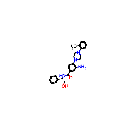 Cc1ccccc1N1CCN(c2ccc(C(=O)N[C@H](CO)c3ccccc3)cc2N)CC1